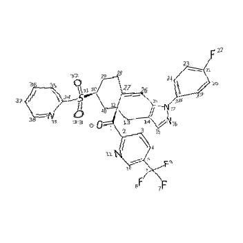 O=C(c1ccc(C(F)(F)F)cn1)[C@]12Cc3cnn(-c4ccc(F)cc4)c3C=C1CC[C@H](S(=O)(=O)c1ccccn1)C2